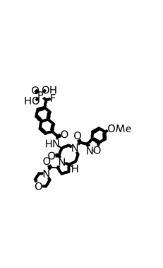 COc1ccc2c(C(=O)N3CC[C@H]4CC[C@@H](C(=O)N5CCOCC5)N4C(=O)[C@@H](NC(=O)c4ccc5ccc(C(F)P(=O)(O)O)cc5c4)C3)noc2c1